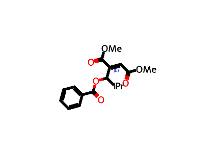 COC(=O)/C=C(/C(=O)OC)C(OC(=O)c1ccccc1)C(C)C